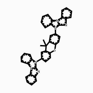 CC1(C)c2cc(-n3c4ccccc4n4c5ccccc5nc34)ccc2Sc2ccc(-n3c4ccccc4n4c5ccccc5nc34)cc21